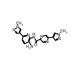 Cn1cc(-c2cnc(C(=O)Nc3nc(-c4cnn(C)c4)ccc3N)cn2)cn1